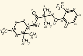 CN1CC[C@@H](NC(=O)C(C)(C)COc2ncccc2C(F)(F)F)C(C)(C)C1